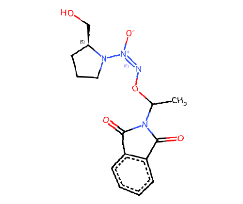 CC(O/N=[N+](/[O-])N1CCC[C@H]1CO)N1C(=O)c2ccccc2C1=O